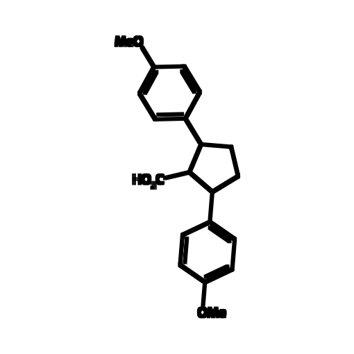 COc1ccc(C2CCC(c3ccc(OC)cc3)C2C(=O)O)cc1